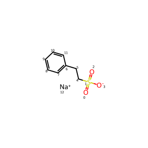 O=S(=O)([O-])CCc1ccccc1.[Na+]